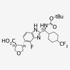 CC(C)(C)OC(=O)N[C@H](c1nc2c(F)c([C@@H]3COC[C@H]3C(=O)O)ccc2[nH]1)C1CCC(C(F)(F)F)CC1